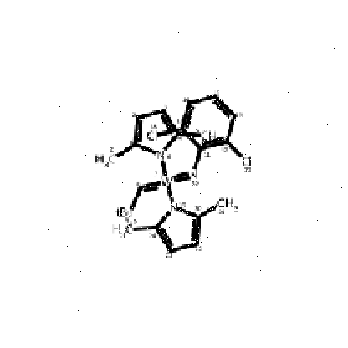 Cc1ccc(C)[n]1[W](=[CH]C(C)(C)C)(=[N]c1c(Cl)cccc1Cl)[n]1c(C)ccc1C